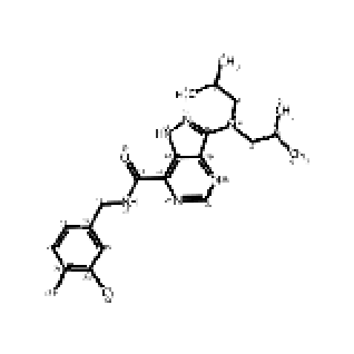 CC(C)CN(CC(C)C)c1n[nH]c2c(C(=O)NCc3ccc(F)c(Cl)c3)ncnc12